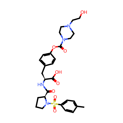 Cc1ccc(S(=O)(=O)N2CCC[C@H]2C(=O)N[C@@H](Cc2ccc(OC(=O)N3CCN(CCO)CC3)cc2)C(=O)O)cc1